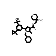 Cc1c(C(=O)NCC2(C=O)CCOCC2)cc(-c2cc(C(C)(C)O)cc(C3(C)CC3)c2)n1CC1CCCCC1